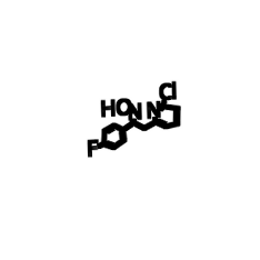 ON=C(Cc1cccc(Cl)n1)c1ccc(F)cc1